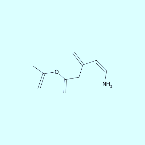 C=C(/C=C\N)CC(=C)OC(=C)C